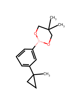 CC1(C)COB(c2cccc(C3(C)CC3)c2)OC1